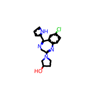 OC1CCN(C2=Nc3ccc(Cl)cc3C(c3ccc[nH]3)=NC2)C1